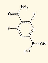 NC(=O)c1c(F)cc(B(O)O)cc1F